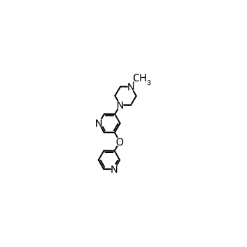 CN1CCN(c2cncc(Oc3cccnc3)c2)CC1